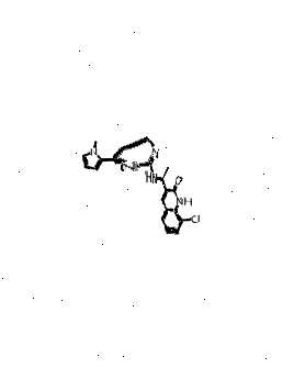 C[C@H](Nc1nccc(-c2cccn2C)n1)c1cc2cccc(Cl)c2[nH]c1=O